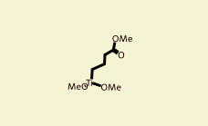 COC(=O)CC[CH2][Ti]([O]C)[O]C